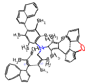 BC1=C(B)C(N(C/C(B)=C(B)\C(=C(\B)C#C)c2cccc3ccccc23)c2c(B)c(B)c(-c3cccc4ccccc34)c(B)c2B)C(B)=C1c1cccc2oc3ccccc3c12